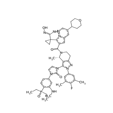 CCP(=O)(CC)c1ccc(-n2ccn(-c3c4c(nn3-c3cc(C)c(F)c(C)c3)CCN(C(=O)c3cc5cc(C6CCOCC6)cnn5c3C3(/C(N)=N/O)CC3)[C@H]4C)c2=O)cc1NC